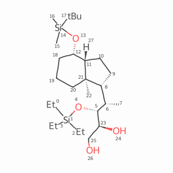 CC[Si](CC)(CC)O[C@H]([C@@H](C)[C@H]1CC[C@H]2[C@@H](O[Si](C)(C)C(C)(C)C)CCC[C@]12C)[C@@H](O)CO